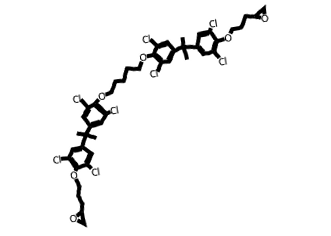 CC(C)(c1cc(Cl)c(OCCCCCOc2c(Cl)cc(C(C)(C)c3cc(Cl)c(OCCCC4CO4)c(Cl)c3)cc2Cl)c(Cl)c1)c1cc(Cl)c(OCCCC2CO2)c(Cl)c1